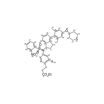 CCOC(=O)CCc1ccc(N(C2CCc3c(-c4c(C)cc(OC5CCSCC5)cc4C)cccc32)S(=O)(=O)c2ccccc2[N+](=O)[O-])cc1F